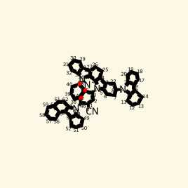 N#Cc1cc(-n2c3ccc(-n4c5ccccc5c5ccccc54)cc3c3ccc4c5ccccc5n(-c5ccccc5)c4c32)c(C#N)cc1-n1c2ccccc2c2c3ccccc3ccc21